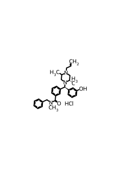 C=CCN1C[C@H](C)N([C@@H](c2cccc(O)c2)c2cccc(C(=O)N(C)Cc3ccccc3)c2)CC1C.Cl